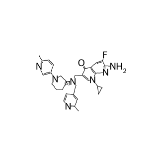 Cc1ccc(N2CCC[C@H](N(Cc3ccnc(C)c3)Cc3cn(C4CC4)c4nc(N)c(F)cc4c3=O)C2)cn1